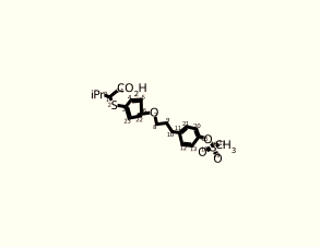 CC(C)C(Sc1ccc(OCCCc2ccc(OS(C)(=O)=O)cc2)cc1)C(=O)O